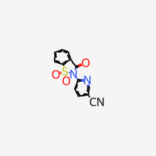 N#Cc1ccc(N2C(=O)c3ccccc3S2(=O)=O)nc1